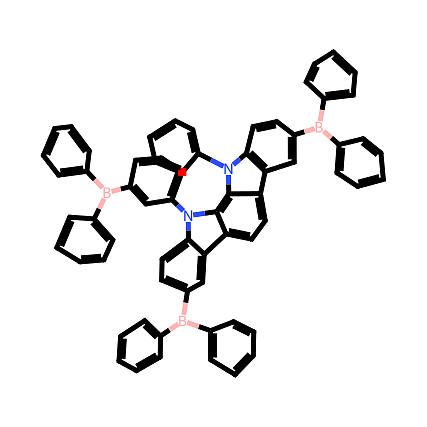 c1ccc(B(c2ccccc2)c2cccc(-n3c4ccc(B(c5ccccc5)c5ccccc5)cc4c4ccc5c6cc(B(c7ccccc7)c7ccccc7)ccc6n(-c6ccccc6)c5c43)c2)cc1